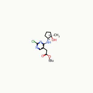 CC(C)(C)OC(=O)Cc1cnc(Cl)nc1N[C@H]1CCC[C@@]1(C)O